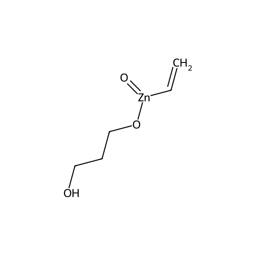 C=[CH][Zn](=[O])[O]CCCO